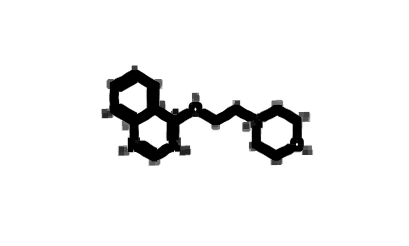 c1ccc2c(OCCN3CCOCC3)ncnc2c1